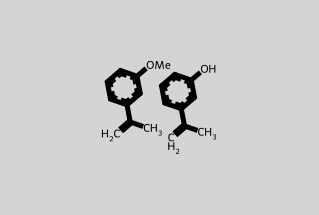 C=C(C)c1cccc(O)c1.C=C(C)c1cccc(OC)c1